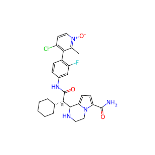 Cc1c(-c2ccc(NC(=O)[C@@H](C3CCCCC3)C3NCCn4c(C(N)=O)ccc43)cc2F)c(Cl)cc[n+]1[O-]